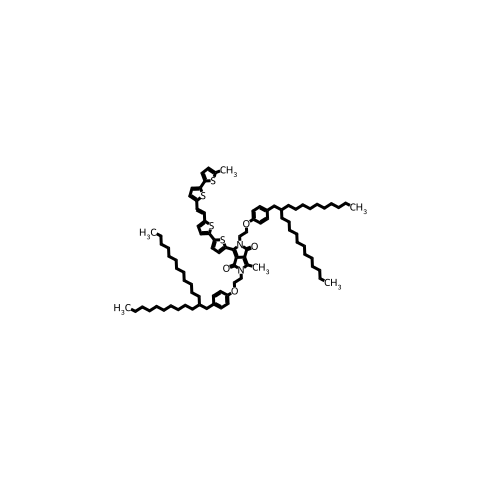 CCCCCCCCCCCCC(CCCCCCCCCC)Cc1ccc(OCCN2C(=O)C3=C(c4ccc(-c5ccc(/C=C/c6ccc(-c7ccc(C)s7)s6)s5)s4)N(CCOc4ccc(CC(CCCCCCCCCC)CCCCCCCCCCCC)cc4)C(=O)C3=C2C)cc1